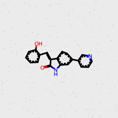 O=C1Nc2cc(-c3cccnc3)ccc2C1=Cc1ccccc1O